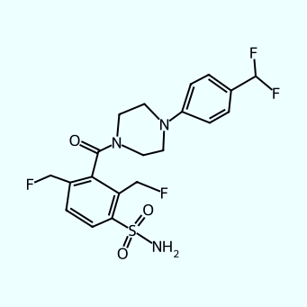 NS(=O)(=O)c1ccc(CF)c(C(=O)N2CCN(c3ccc(C(F)F)cc3)CC2)c1CF